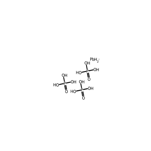 O=P(O)(O)O.O=P(O)(O)O.O=P(O)(O)O.[PbH2]